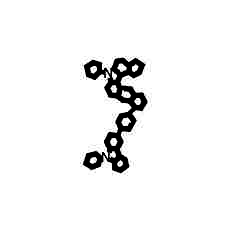 c1ccc(-n2c3ccccc3c3cc(-c4ccc(-c5cccc6cc7c(ccc8c7c7c9ccccc9ccc7n8-c7ccccc7)cc56)cc4)ccc32)cc1